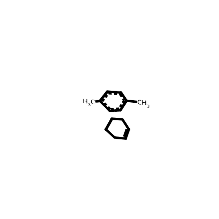 C1=CCCCC1.Cc1ccc(C)cc1